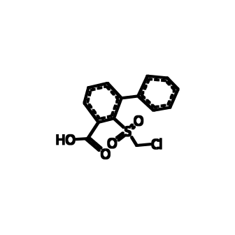 O=C(O)c1cccc(-c2ccccc2)c1S(=O)(=O)CCl